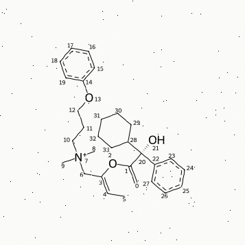 C=C(OC(=CC)C[N+](C)(C)CCCOc1ccccc1)[C@](O)(c1ccccc1)C1CCCCC1